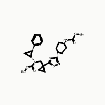 CC(C)(C)OC(=O)N[C@H]1CC[C@H](c2noc(C3(CN(C(=O)OC(C)(C)C)[C@@H]4C[C@H]4c4ccccc4)CC3)n2)CC1